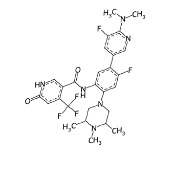 CC1CN(c2cc(F)c(-c3cnc(N(C)C)c(F)c3)cc2NC(=O)c2c[nH]c(=O)cc2C(F)(F)F)CC(C)N1C